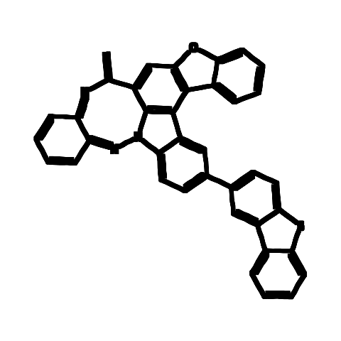 C=c1nc2ccccc2nn2c3ccc(-c4ccc5sc6ccccc6c5c4)cc3c3c4c(cc1c32)oc1ccccc14